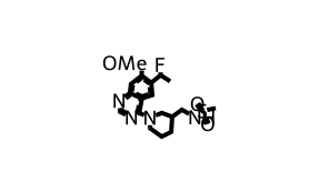 COc1cc2ncnc(N3CCCC(CNS(C)(=O)=O)C3)c2cc1C(C)F